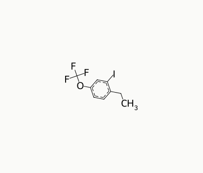 CCc1ccc(OC(F)(F)F)cc1I